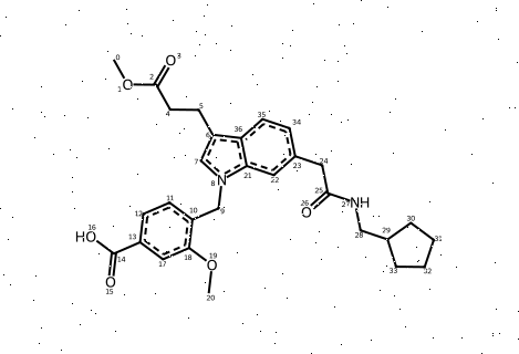 COC(=O)CCc1cn(Cc2ccc(C(=O)O)cc2OC)c2cc(CC(=O)NCC3CCCC3)ccc12